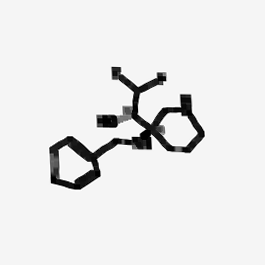 O[C@H](C(F)F)[C@@]1(NCc2ccccc2)CCCNC1